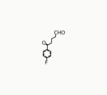 O=CCCCC(=O)c1ccc(F)cc1